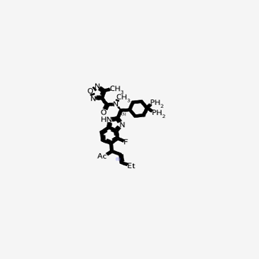 CC/C=C/C(C(C)=O)c1ccc2[nH]c([C@H](C3CCC(P)(P)CC3)N(C)C(=O)c3nonc3C)nc2c1F